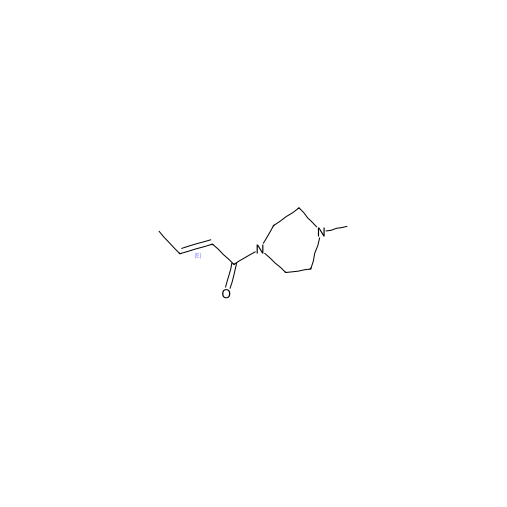 C/C=C/C(=O)N1CCN(C)CC1